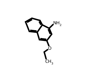 CCOc1cc(N)c2ccccc2c1